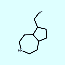 CC(C)CC1CCC2CCNCCC21